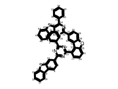 c1ccc(-c2nc(-c3ccc4c(c3)sc3ccccc34)nc(-c3cccc4oc5ccc(-c6nc(-c7ccccc7)c7sc8ccccc8c7n6)cc5c34)n2)cc1